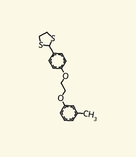 Cc1cccc(OCCOc2ccc(C3SCCS3)cc2)c1